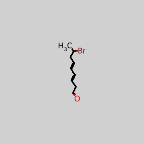 CC(Br)C/C=C/C=C/CC=O